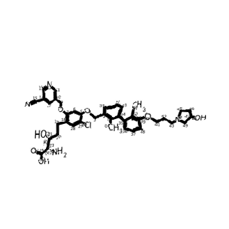 Cc1c(COc2cc(OCc3cncc(C#N)c3)c(CC[C@@H](O)[C@H](N)C(=O)O)cc2Cl)cccc1-c1cccc(OCCCN2CCC(O)C2)c1C